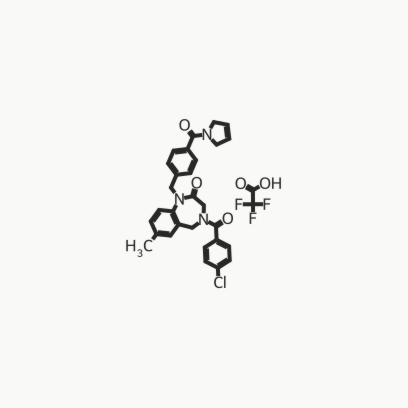 Cc1ccc2c(c1)CN(C(=O)c1ccc(Cl)cc1)CC(=O)N2Cc1ccc(C(=O)N2CC=CC2)cc1.O=C(O)C(F)(F)F